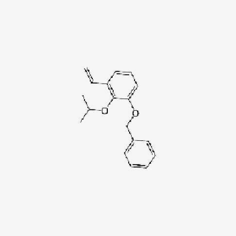 C=Cc1cccc(OCc2ccccc2)c1OC(C)C